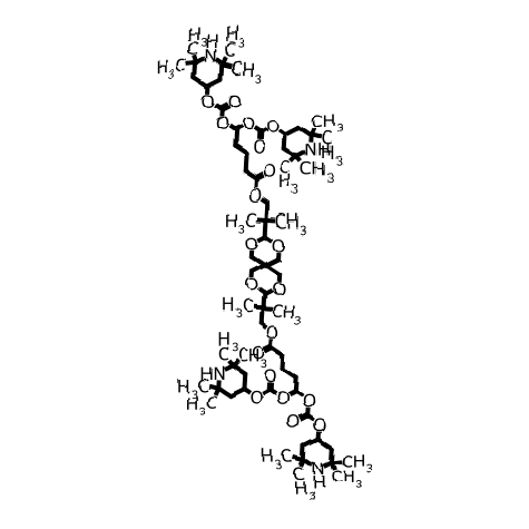 CC1(C)CC(OC(=O)OC(CCCC(=O)OCC(C)(C)C2OCC3(CO2)COC(C(C)(C)COC(=O)CCCC(OC(=O)OC2CC(C)(C)NC(C)(C)C2)OC(=O)OC2CC(C)(C)NC(C)(C)C2)OC3)OC(=O)OC2CC(C)(C)NC(C)(C)C2)CC(C)(C)N1